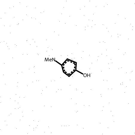 [CH2]Nc1ccc(O)cc1